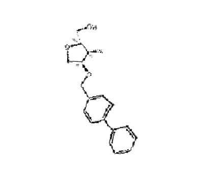 OC[C@H]1OC[C@H](OCc2ccc(-c3ccccc3)cc2)[C@@H]1O